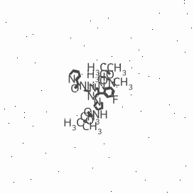 CN(C(=O)OC(C)(C)C)c1cc(F)cc2c1[nH]c1nc(CNC(=O)c3ccccn3)nc(N3CCC(NC(=O)OC(C)(C)C)C3)c12